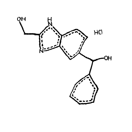 Cl.OCc1nc2cc(C(O)c3ccccc3)ccc2[nH]1